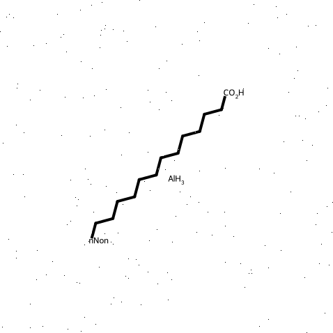 CCCCCCCCCCCCCCCCCCCCCC(=O)O.[AlH3]